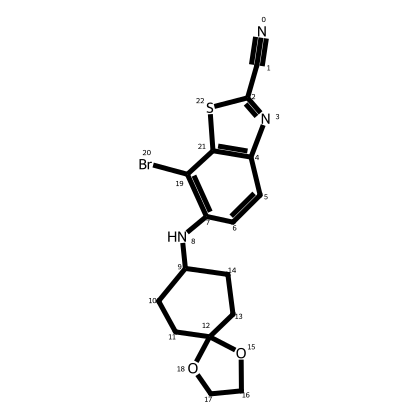 N#Cc1nc2ccc(NC3CCC4(CC3)OCCO4)c(Br)c2s1